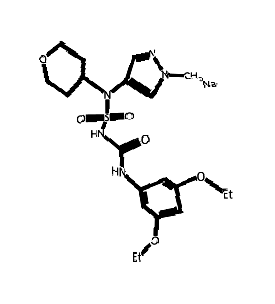 CCOc1cc(NC(=O)NS(=O)(=O)N(c2cnn(C)c2)C2CCOCC2)cc(OCC)c1.[Na]